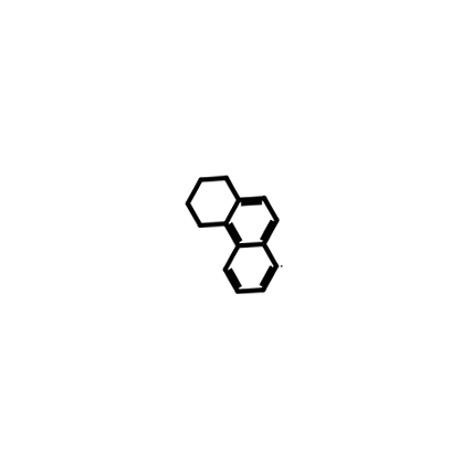 [c]1cccc2c3c(ccc12)CCCC3